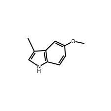 [CH2]c1c[nH]c2ccc(OC)cc12